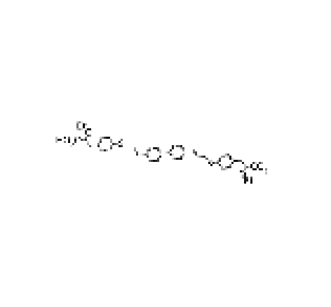 CCOC(Cc1ccc(SCC=Cc2ccc(-c3ccc(C=CCSc4ccc(CC(OCC)C(=O)O)cc4)cc3)cc2)cc1)C(=O)O